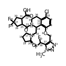 Cn1nnc(COc2ccc(Cl)c3c2C(CN2CCCC2=O)N(C(=O)C2CC(F)(F)CC2C(=O)O)CC3)c1C(F)F